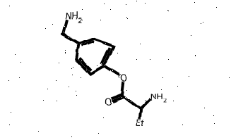 CCC(N)C(=O)Oc1ccc(CN)cc1